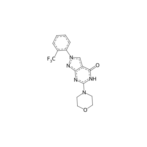 O=c1[nH]c(N2CCOCC2)nc2nn(-c3ccccc3C(F)(F)F)cc12